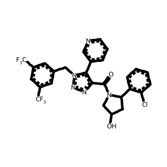 O=C(c1nnn(Cc2cc(C(F)(F)F)cc(C(F)(F)F)c2)c1-c1cccnc1)N1CC(O)CC1c1ccccc1Cl